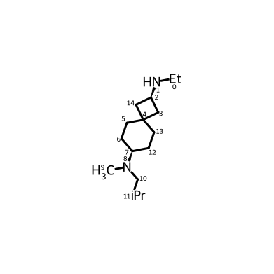 CCN[C@H]1CC2(CC[C@H](N(C)CC(C)C)CC2)C1